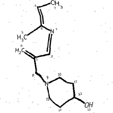 C=C(/C=N\C(C)=C/C)CN1CCC(O)CC1